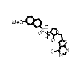 COc1ccc2ccc(S(=O)(=O)N[C@H]3CCN(Cc4cc5c(Cl)ncnc5s4)C3=O)cc2c1